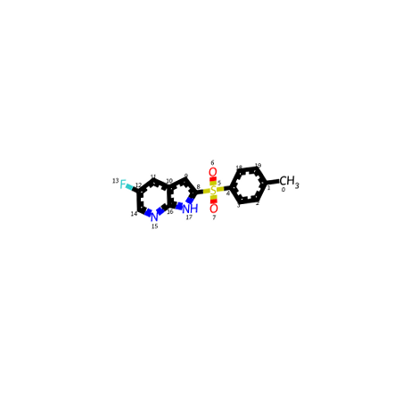 Cc1ccc(S(=O)(=O)c2cc3cc(F)cnc3[nH]2)cc1